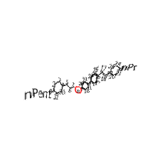 CCCCCC1CCC(CCCOc2ccc(-c3ccc(CCC4CCC(CCC)CC4)cc3)cc2)CC1